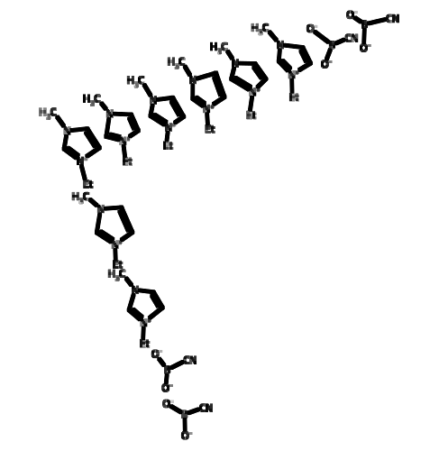 CC[n+]1ccn(C)c1.CC[n+]1ccn(C)c1.CC[n+]1ccn(C)c1.CC[n+]1ccn(C)c1.CC[n+]1ccn(C)c1.CC[n+]1ccn(C)c1.CC[n+]1ccn(C)c1.CC[n+]1ccn(C)c1.N#CB([O-])[O-].N#CB([O-])[O-].N#CB([O-])[O-].N#CB([O-])[O-]